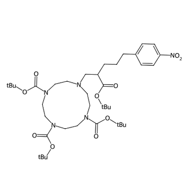 CC(C)(C)OC(=O)C(CCCc1ccc([N+](=O)[O-])cc1)CN1CCN(C(=O)OC(C)(C)C)CCN(C(=O)OC(C)(C)C)CCN(C(=O)OC(C)(C)C)CC1